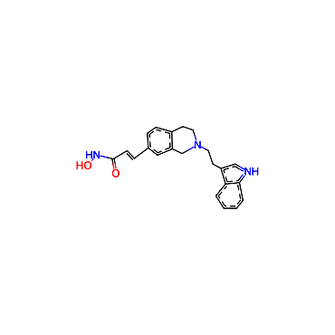 O=C(C=Cc1ccc2c(c1)CN(CCc1c[nH]c3ccccc13)CC2)NO